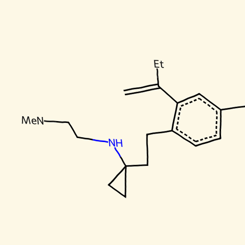 C=C(CC)c1cc(C)ccc1CCC1(NCCNC)CC1